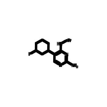 CCCNc1nc(N)ncc1C1CCCC(F)C1